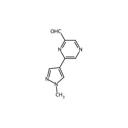 Cn1cc(-c2cncc(C=O)n2)cn1